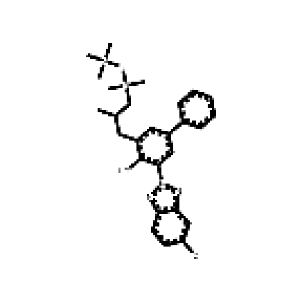 CC(Cc1cc(-c2ccccc2)cc(-n2nc3ccc(Cl)cc3n2)c1O)C[Si](C)(C)O[Si](C)(C)C